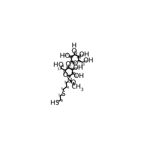 CON(CCCSCCS)[C@@H]1OC(CO)[C@@H](O[C@@H]2OC(CO)[C@H](O)C(O)[C@@H]2O)C(O)[C@@H]1O